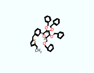 CCc1ccc(Cc2cccc([C@@H]3O[C@H](COCc4ccccc4)[C@@H](OCc4ccccc4)[C@H](OCc4ccccc4)[C@H]3OCc3ccccc3)c2)s1